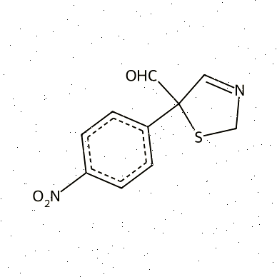 O=CC1(c2ccc([N+](=O)[O-])cc2)C=NCS1